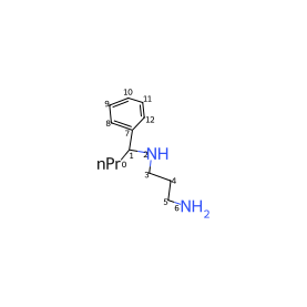 CCCC(NCCCN)c1ccccc1